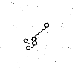 c1ccc(CCCCCOc2ccc3cc(CN4CCC[C@H]4CN4CCCC4)ccc3c2)cc1